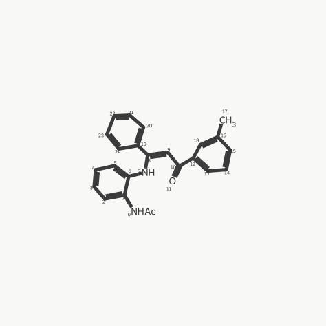 CC(=O)Nc1ccccc1N/C(=C\C(=O)c1cccc(C)c1)c1ccccc1